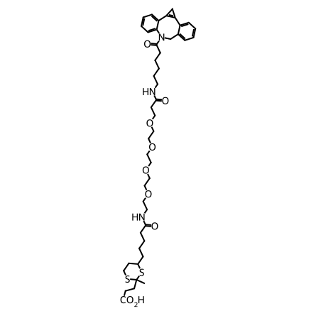 CC1(CCC(=O)O)SCCC(CCCCC(=O)NCCOCCOCCOCCOCCC(=O)NCCCCCC(=O)N2Cc3ccccc3C3=C(C3)c3ccccc32)S1